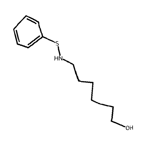 OCCCCCCNSc1ccccc1